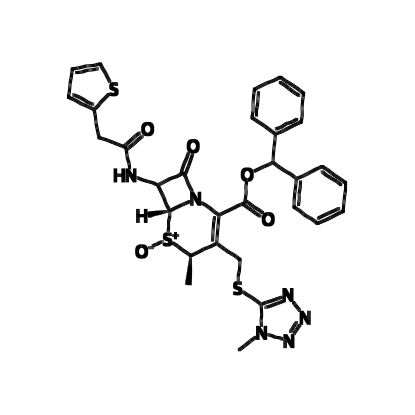 C[C@@H]1C(CSc2nnnn2C)=C(C(=O)OC(c2ccccc2)c2ccccc2)N2C(=O)C(NC(=O)Cc3cccs3)[C@H]2[S+]1[O-]